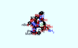 CCCCOc1ccc(OCCNC)c(NC(=O)NC(=O)C[C@@H]2NC(=O)[C@H](NC(=O)[C@@H](CC(C)C)NC)[C@H](O)c3ccc(c(C)c3)Oc3cc4cc(c3O[C@@H]3O[C@H](CN)[C@@H](O)[C@H](O)[C@H]3O)Oc3ccc(cc3Cl)[C@@H](O)[C@@H]3NC(=O)[C@H](NC(=O)[C@@H]4NC2=O)c2ccc(O)c(c2)-c2c(O)cc(O)cc2[C@@H](C(=O)NC2C4CC5CC(C4)CC2C5)NC3=O)c1